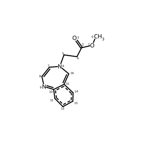 COC(=O)CCN1C=CN=c2ccccc2=C1